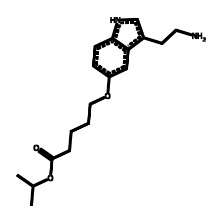 CC(C)OC(=O)CCCCOc1ccc2[nH]cc(CCN)c2c1